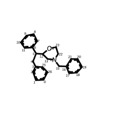 c1ccc(CC(c2ccccc2)C2CN(Cc3ccccc3)CCO2)cc1